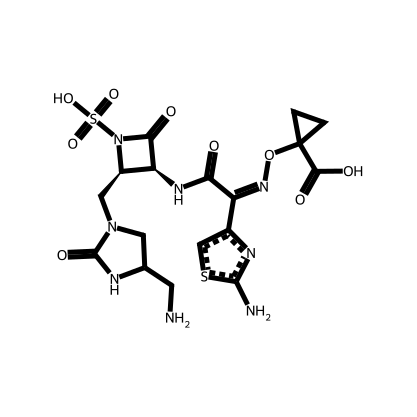 NCC1CN(C[C@@H]2[C@H](NC(=O)/C(=N\OC3(C(=O)O)CC3)c3csc(N)n3)C(=O)N2S(=O)(=O)O)C(=O)N1